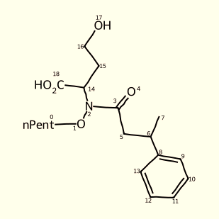 CCCCCON(C(=O)CC(C)c1ccccc1)C(CCO)C(=O)O